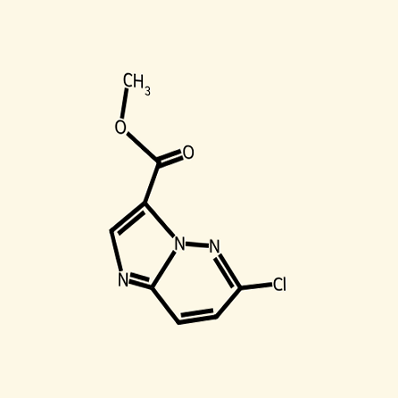 COC(=O)c1cnc2ccc(Cl)nn12